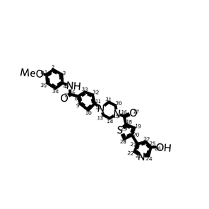 COc1ccc(NC(=O)c2ccc(N3CCN(C(=O)c4cc(-c5cncc(O)c5)cs4)CC3)cc2)cc1